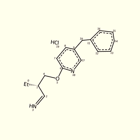 CC[C@@H](C=N)COc1ccc(Cc2ccccc2)cn1.Cl